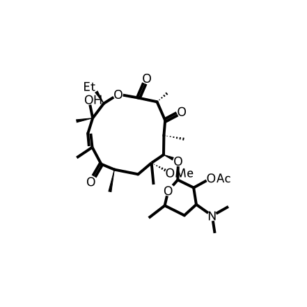 CC[C@H]1OC(=O)[C@H](C)C(=O)[C@H](C)[C@@H](OC2OC(C)CC(N(C)C)C2OC(C)=O)[C@](C)(OC)C[C@@H](C)C(=O)C(C)=C[C@]1(C)O